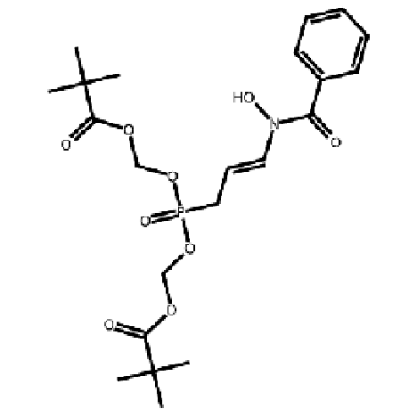 CC(C)(C)C(=O)OCOP(=O)(C/C=C/N(O)C(=O)c1ccccc1)OCOC(=O)C(C)(C)C